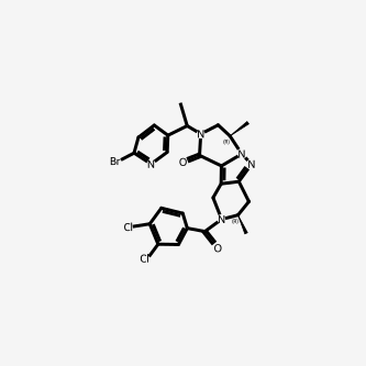 CC(c1ccc(Br)nc1)N1C[C@@H](C)n2nc3c(c2C1=O)CN(C(=O)c1ccc(Cl)c(Cl)c1)[C@H](C)C3